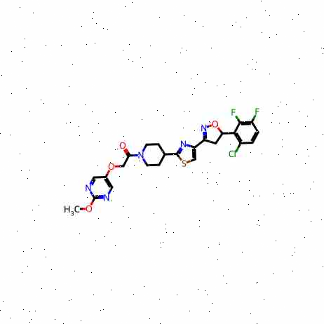 COc1ncc(OCC(=O)N2CCC(c3nc(C4=NOC(c5c(Cl)ccc(F)c5F)C4)cs3)CC2)cn1